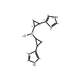 [O-][S+](C1CC1c1c[nH]cn1)C1CC1c1c[nH]cn1